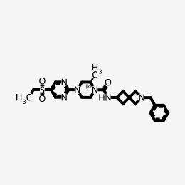 CCS(=O)(=O)c1cnc(N2CCN(C(=O)NC3CC4(C3)CN(Cc3ccccc3)C4)[C@H](C)C2)nc1